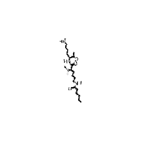 CCCCCC(=O)NCCCCC(NC)C(=O)NC(CCCCNC)C(C)=O